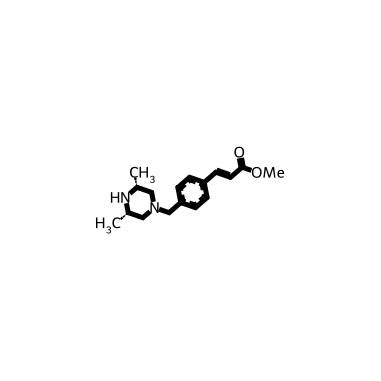 COC(=O)C=Cc1ccc(CN2C[C@@H](C)N[C@@H](C)C2)cc1